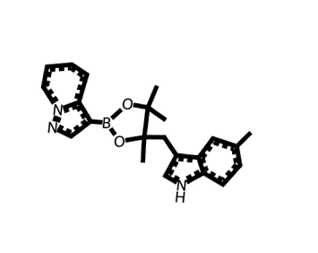 Cc1ccc2[nH]cc(CC3(C)OB(c4cnn5ccccc45)OC3(C)C)c2c1